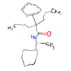 CCCC(CCC)(C(=O)N[C@@H](C)C1CCCCC1)c1ccccc1